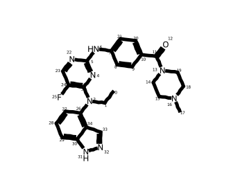 CCN(c1nc(Nc2ccc(C(=O)N3CCN(C)CC3)cc2)ncc1F)c1cccc2[nH]ncc12